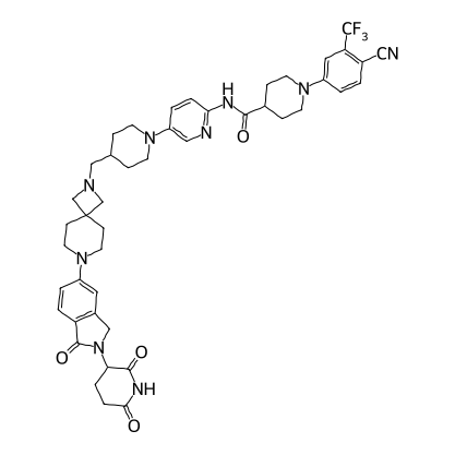 N#Cc1ccc(N2CCC(C(=O)Nc3ccc(N4CCC(CN5CC6(CCN(c7ccc8c(c7)CN(C7CCC(=O)NC7=O)C8=O)CC6)C5)CC4)cn3)CC2)cc1C(F)(F)F